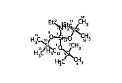 CCN(CC)[Si](O[Si](C)(C)C)(O[Si](C)(C)C)O[Si](C)(C)C